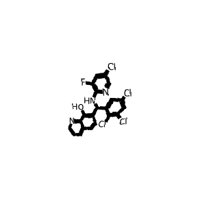 Oc1c(C(Nc2ncc(Cl)cc2F)c2cc(Cl)cc(Cl)c2Cl)ccc2cccnc12